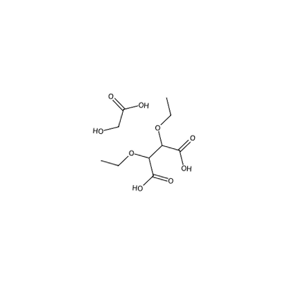 CCOC(C(=O)O)C(OCC)C(=O)O.O=C(O)CO